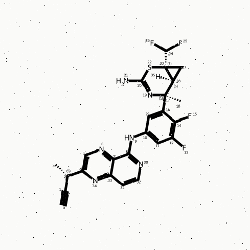 C#C[C@H](C)c1cnc2c(Nc3cc(F)c(F)c([C@@]4(C)N=C(N)S[C@@]5(C(F)F)C[C@@H]45)c3)nccc2n1